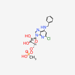 CP(=O)(O)OOC[C@H]1O[C@@H](n2cnc3c(NCc4ccccc4)cc(Cl)nc32)[C@H](O)[C@@H]1O